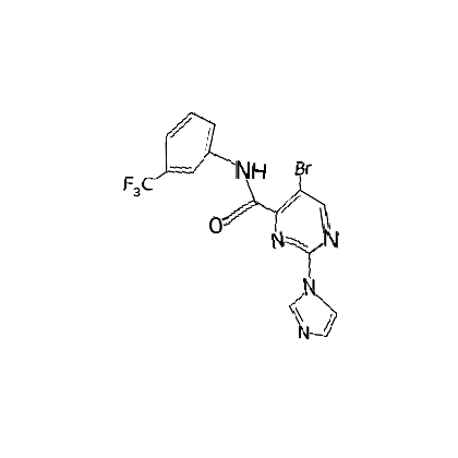 O=C(Nc1cccc(C(F)(F)F)c1)c1nc(-n2ccnc2)ncc1Br